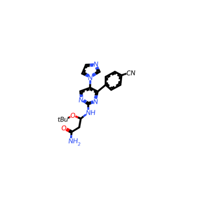 CC(C)(C)OC(CC(N)=O)Nc1ncc(-n2ccnc2)c(-c2ccc(C#N)cc2)n1